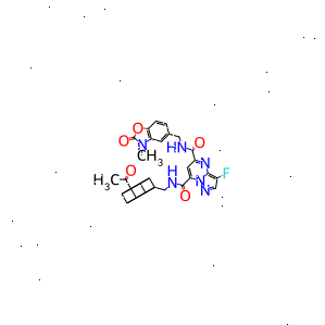 CC(=O)C12C3C4C1C1C2C3C41CNC(=O)c1cc(C(=O)NCc2ccc3oc(=O)n(C)c3c2)nc2c(F)cnn12